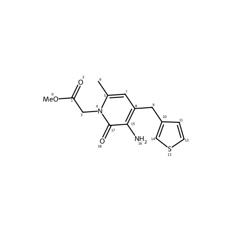 COC(=O)Cn1c(C)cc(Cc2ccsc2)c(N)c1=O